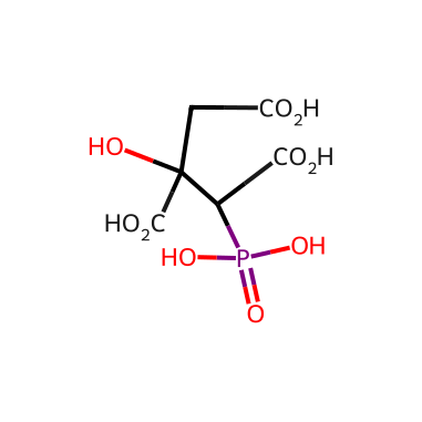 O=C(O)CC(O)(C(=O)O)C(C(=O)O)P(=O)(O)O